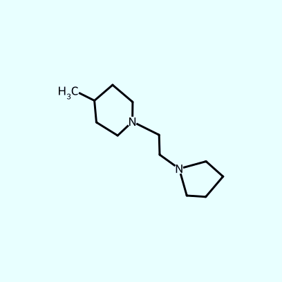 CC1CCN(CCN2CCCC2)CC1